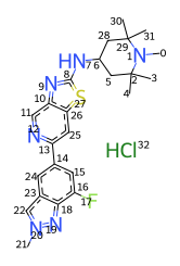 CN1C(C)(C)CC(Nc2nc3cnc(-c4cc(F)c5nn(C)cc5c4)cc3s2)CC1(C)C.Cl